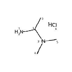 CC(N)N(C)C.Cl